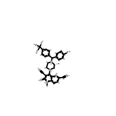 C[C@@H]1CN(c2c(C#N)c(=O)n(C)c3ccc(C#N)nc23)CCN1C(c1ccc(F)cc1)c1ccc(C(F)(F)F)cc1